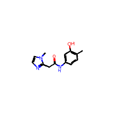 Cc1ccc(NC(=O)Cc2nccn2C)cc1O